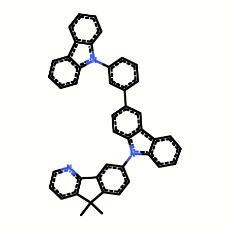 CC1(C)c2ccc(-n3c4ccccc4c4cc(-c5cccc(-n6c7ccccc7c7ccccc76)c5)ccc43)cc2-c2ncccc21